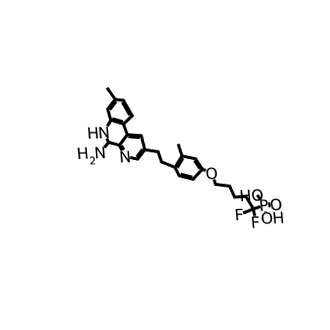 Cc1ccc2c(c1)NC(N)c1ncc(CCc3ccc(OCCCCC(F)(F)P(=O)(O)O)cc3C)cc1-2